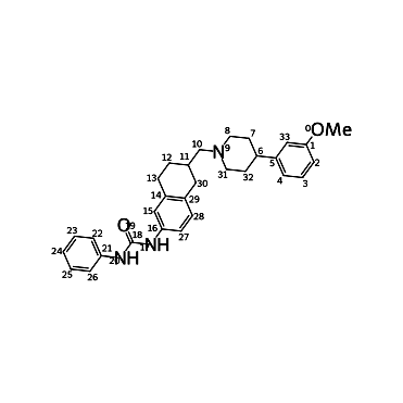 COc1cccc(C2CCN(CC3CCc4cc(NC(=O)Nc5ccccc5)ccc4C3)CC2)c1